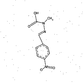 CN(N=Cc1ccc([N+](=O)[O-])cc1)C(=O)O